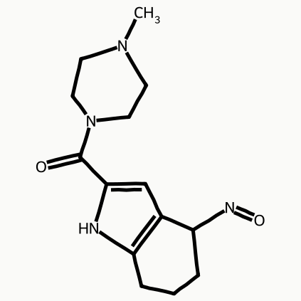 CN1CCN(C(=O)c2cc3c([nH]2)CCCC3N=O)CC1